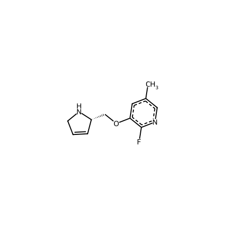 Cc1cnc(F)c(OC[C@@H]2C=CCN2)c1